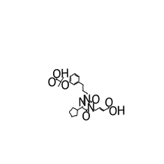 CC(C)(Oc1cccc(CCCn2nc(C3CCCC3)c(=O)n(C/C=C/C(=O)O)c2=O)c1)C(=O)O